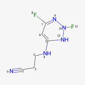 N#CCCNC1=CC(F)=NN(F)N1